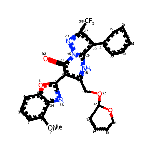 COc1cccc2oc(-c3c(COC4CCCCO4)[nH]c4c(-c5ccccc5)c(C(F)(F)F)nn4c3=O)nc12